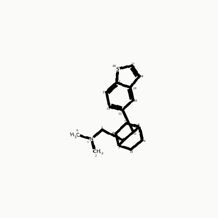 CN(C)CC1C2CCC(CC2)C1c1ccc2sccc2c1